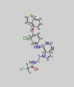 CC(C)(F)C(=O)NCCn1ccc2ncnc(Nc3ccc(Oc4cccc5sccc45)c(Cl)c3)c21